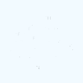 CSC(=O)CC/C(=C(/C#N)c1ccc(Cl)cc1)c1ccccc1C(F)(F)F